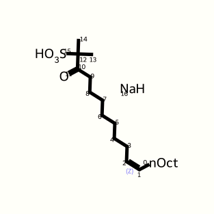 CCCCCCCC/C=C\CCCCCCCC(=O)C(C)(C)S(=O)(=O)O.[NaH]